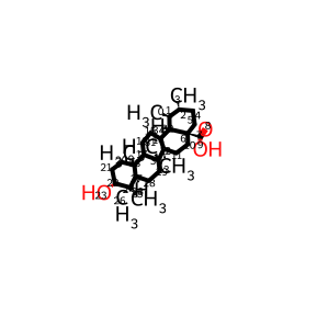 C[C@H]1[C@H](C)CC[C@]2(C(=O)O)CC[C@]3(C)C(CCC4[C@@]5(C)CC[C@H](O)C(C)(C)[C@@H]5CC[C@]43C)[C@H]12